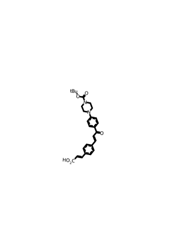 CC(C)(C)OC(=O)N1CCN(c2ccc(C(=O)C=Cc3ccc(C=CC(=O)O)cc3)cc2)CC1